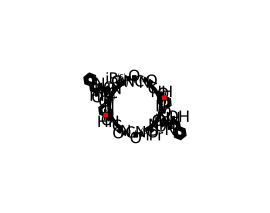 CC[C@H](C)[C@H]1C(=O)NC[C@@H](NC(=O)c2nc3ccccc3cc2O)C(=O)N2CCCC[C@H]2C(=O)NCC(=O)N(C)CC(=O)N(C)[C@@H](C(C)C)C(=O)NC[C@@H](NC(=O)c2nc3ccccc3cc2O)C(=O)N2CCCC[C@H]2C(=O)NCC(=O)N(C)CC(=O)N1C